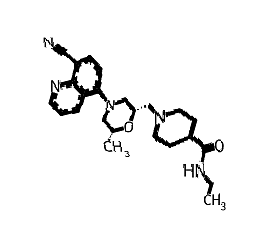 CCNC(=O)C1CCN(C[C@H]2CN(c3ccc(C#N)c4ncccc34)C[C@@H](C)O2)CC1